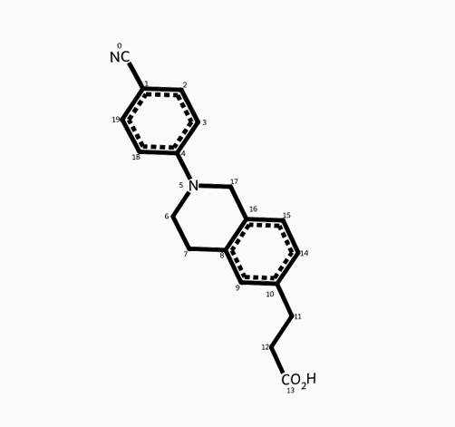 N#Cc1ccc(N2CCc3cc(CCC(=O)O)ccc3C2)cc1